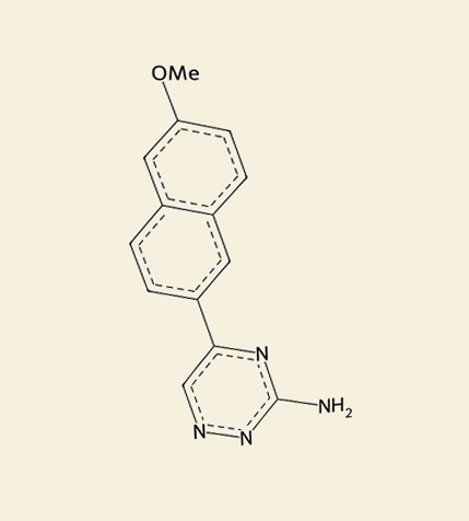 COc1ccc2cc(-c3cnnc(N)n3)ccc2c1